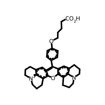 O=C(O)CCCCOc1ccc(C2=c3cc4c5c(c3Oc3c2cc2c6c3CCCN6CCC2)CCC[N+]=5CCC4)cc1